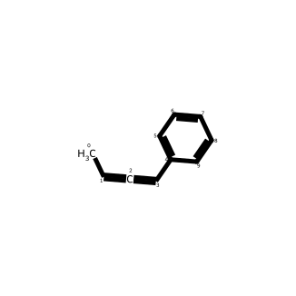 CC=C=Cc1ccccc1